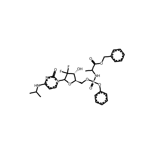 CC(C)Nc1ccn(C2O[C@H](COP(=O)(NC(C)C(=O)OCc3ccccc3)Oc3ccccc3)[C@@H](O)C2(F)F)c(=O)n1